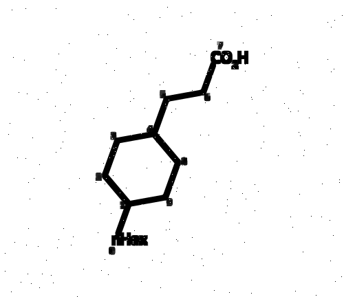 CCCCCCC1CCC(CCC(=O)O)CC1